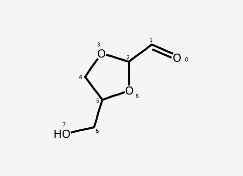 O=CC1OCC(CO)O1